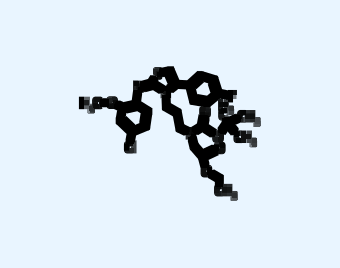 CCOC(=O)CN(CCCn1c(-c2ccc(F)cc2)cs/c1=N/c1ccc(Cl)cc1OC)C(=O)OC(C)(C)C